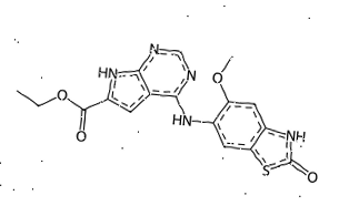 CCOC(=O)c1cc2c(Nc3cc4sc(=O)[nH]c4cc3OC)ncnc2[nH]1